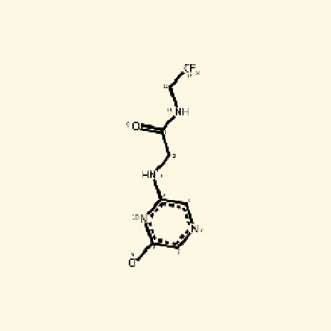 O=C(CNc1cncc(Cl)n1)NCC(F)(F)F